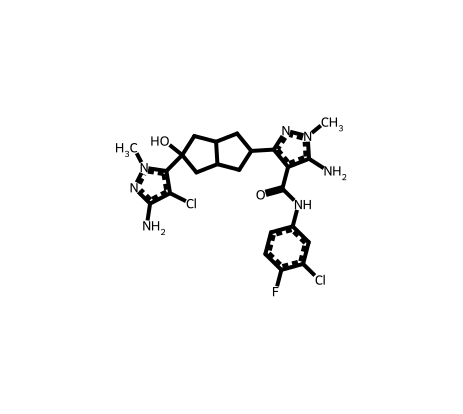 Cn1nc(C2CC3CC(O)(c4c(Cl)c(N)nn4C)CC3C2)c(C(=O)Nc2ccc(F)c(Cl)c2)c1N